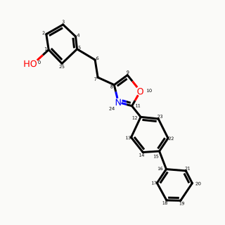 Oc1cccc(CCc2coc(-c3ccc(-c4ccccc4)cc3)n2)c1